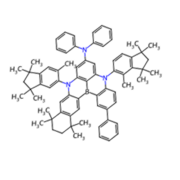 Cc1cc2c(cc1N1c3cc4c(cc3B3c5cc(-c6ccccc6)ccc5N(c5ccc6c(c5C)C(C)(C)CC6(C)C)c5cc(N(c6ccccc6)c6ccccc6)cc1c53)C(C)(C)CCC4(C)C)C(C)(C)CC2(C)C